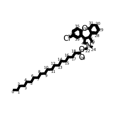 CCCCCCCCCCCCCCCCCCCC(=O)OC[N+]1(C)CC2c3ccccc3Oc3ccc(Cl)cc3C2C1